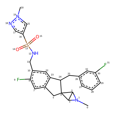 CN1C2C1C21Cc2cc(F)c(CNS(=O)(=O)c3cnn(C)c3)cc2C1Cc1cccc(F)c1